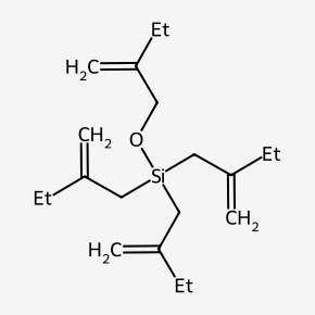 C=C(CC)CO[Si](CC(=C)CC)(CC(=C)CC)CC(=C)CC